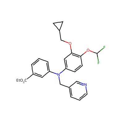 CCOC(=O)c1cccc(N(Cc2cccnc2)c2ccc(OC(F)F)c(OCC3CC3)c2)c1